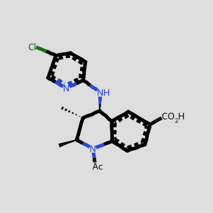 CC(=O)N1c2ccc(C(=O)O)cc2[C@H](Nc2ccc(Cl)cn2)[C@@H](C)[C@@H]1C